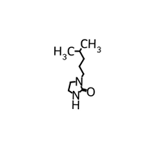 CC(C)CCCN1CCNC1=O